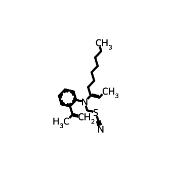 C=C(C)c1ccccc1N(CSC#N)/C(=C/C)CCCCCCC